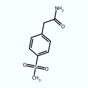 CS(=O)(=O)c1ccc([CH]C(N)=O)cc1